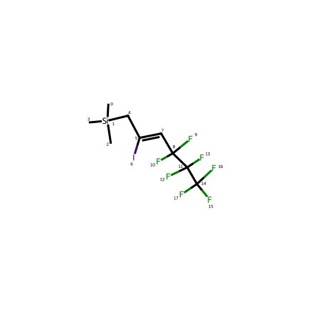 C[Si](C)(C)CC(I)=CC(F)(F)C(F)(F)C(F)(F)F